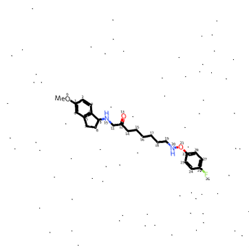 COc1ccc2c(c1)CCC2NCC(=O)CCCCCCNOc1ccc(F)cc1